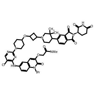 CNC(=O)COc1cc2cc(Nc3nc(N4CCC(OC5CC(N6CCC(c7ccc8c(c7)C(=O)N([C@@H]7CCC(=O)NC7=O)C8=O)C(C)(C)C6)C5)CC4)ncc3Cl)ccc2n(C(C)C)c1=O